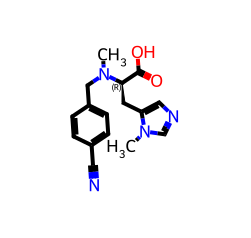 CN(Cc1ccc(C#N)cc1)[C@H](Cc1cncn1C)C(=O)O